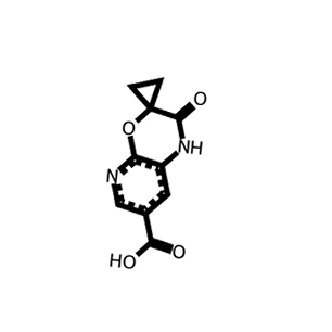 O=C(O)c1cnc2c(c1)NC(=O)C1(CC1)O2